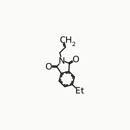 C=CCN1C(=O)c2ccc(CC)cc2C1=O